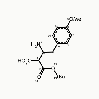 COc1ccc(CC(N)C(C(=O)O)C(=O)OC(C)(C)C)cc1